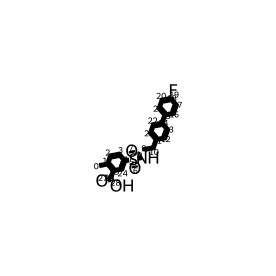 Cc1ccc(S(=O)(=O)NCCc2ccc(-c3ccc(F)cc3)cc2)cc1C(=O)O